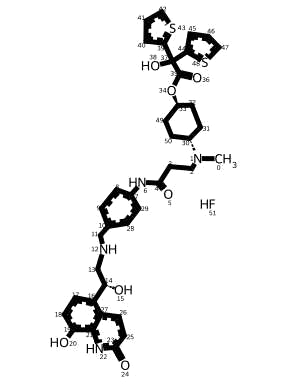 CN(CCC(=O)Nc1ccc(CNC[C@H](O)c2ccc(O)c3[nH]c(=O)ccc23)cc1)[C@H]1CC[C@H](OC(=O)C(O)(c2cccs2)c2cccs2)CC1.F